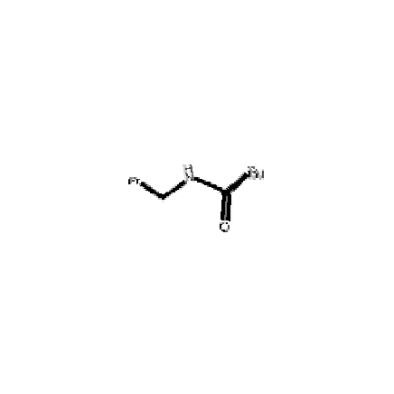 CCC(C)C(=O)NCC(C)C